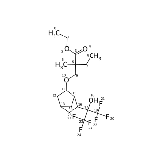 CCOC(=O)C(C)(CC)COC1CC2CC1C(C(O)(C(F)(F)F)C(F)(F)F)C2